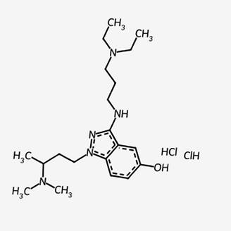 CCN(CC)CCCNc1nn(CCC(C)N(C)C)c2ccc(O)cc12.Cl.Cl